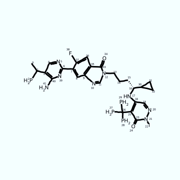 CC(P)c1cnc(-c2cc3ncn(CCC[C@@H](Nc4cnn(I)c(=O)c4C(P)(P)P)C4CC4)c(=O)c3cc2F)nc1N